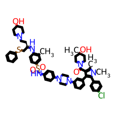 Cc1cc(S(=O)(=O)Nc2ccc(N3CCN(c4cccc(-c5c(C(=O)N6CCC(C)(O)CC6)c(C)n(C)c5-c5ccc(Cl)cc5)c4)CC3)cc2)ccc1N[C@H](CCN1CCC(O)CC1)CSc1ccccc1